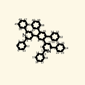 c1ccc(-c2cc(-c3cc(-c4cc(-c5ccccc5)nc(-c5ccccc5)c4)c(-c4ccccc4)cc3-c3ccccc3)cc(-c3ccccc3)n2)cc1